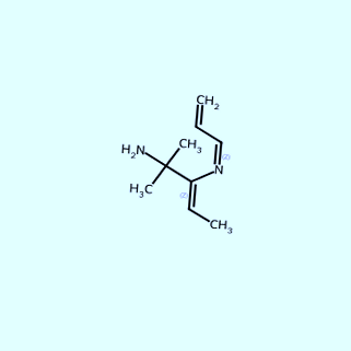 C=C/C=N\C(=C/C)C(C)(C)N